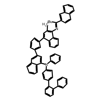 CCC(C)/C(=N\c1c(C)cc(-c2cccc(-c3cc(N(c4ccccc4)c4ccc(-c5ccccc5-c5ccccc5)cc4)c4ccccc4c3)c2)c2ccccc12)c1ccc2ccccc2c1